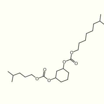 CC(C)CCCCCCOC(=O)OC1CCCC(OC(=O)OCCCC(C)C)C1